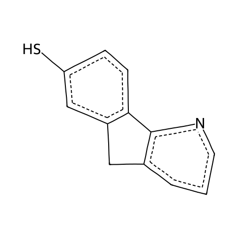 Sc1ccc2c(c1)Cc1cccnc1-2